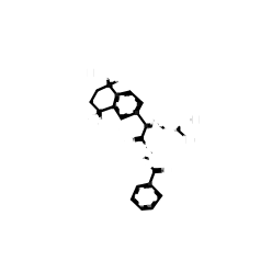 CCC(O)ON=C(C(=O)NOC(=O)c1ccccc1)c1ccc2c(c1)C(C)(C)CCC2(C)C